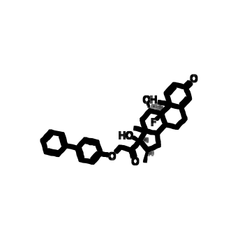 C[C@@H]1CC2C3CCC4=CC(=O)C=CC4(C)[C@@]3(F)[C@@H](O)CC2(C)[C@@]1(O)C(=O)COc1ccc(-c2ccccc2)cc1